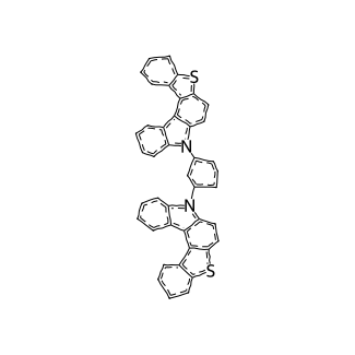 c1cc(-n2c3ccccc3c3c4c(ccc32)sc2ccccc24)cc(-n2c3ccccc3c3c4c(ccc32)sc2ccccc24)c1